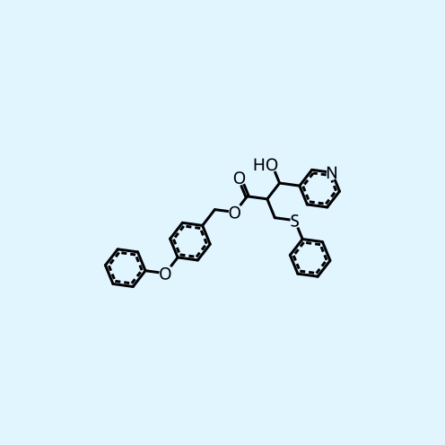 O=C(OCc1ccc(Oc2ccccc2)cc1)C(CSc1ccccc1)C(O)c1cccnc1